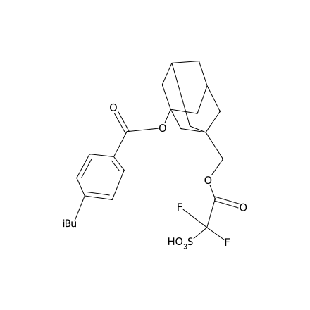 CCC(C)c1ccc(C(=O)OC23CC4CC(CC(COC(=O)C(F)(F)S(=O)(=O)O)(C4)C2)C3)cc1